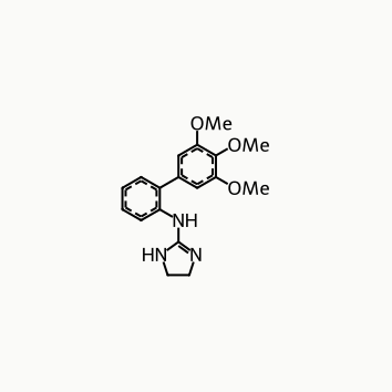 COc1cc(-c2ccccc2NC2=NCCN2)cc(OC)c1OC